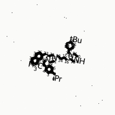 CC(C)Cc1ccc(C(C)CN2CCN(CCCC[C@H]3CNCCN3CC3CCC(C(C)(C)C)CC3)C[C@@H]2Cc2ccc3ccccc3c2)cc1